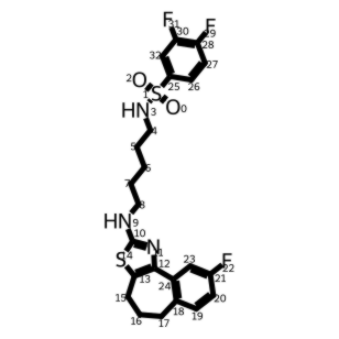 O=S(=O)(NCCCCCNc1nc2c(s1)CCCc1ccc(F)cc1-2)c1ccc(F)c(F)c1